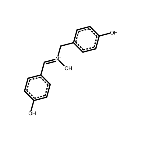 Oc1ccc(/C=[N+](\O)Cc2ccc(O)cc2)cc1